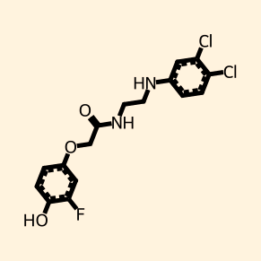 O=C(COc1ccc(O)c(F)c1)NCCNc1ccc(Cl)c(Cl)c1